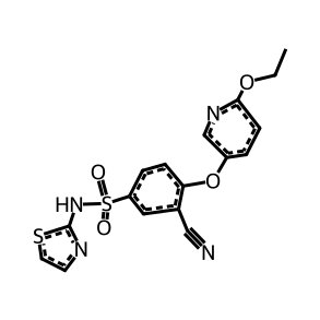 CCOc1ccc(Oc2ccc(S(=O)(=O)Nc3nccs3)cc2C#N)cn1